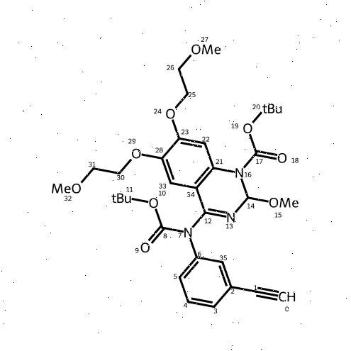 C#Cc1cccc(N(C(=O)OC(C)(C)C)C2=NC(OC)N(C(=O)OC(C)(C)C)c3cc(OCCOC)c(OCCOC)cc32)c1